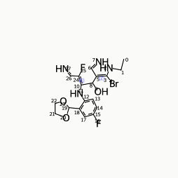 CCN/C(Br)=C(\C=N)C(O)/C(Nc1ccc(F)cc1C1OCCO1)=C(\F)C=N